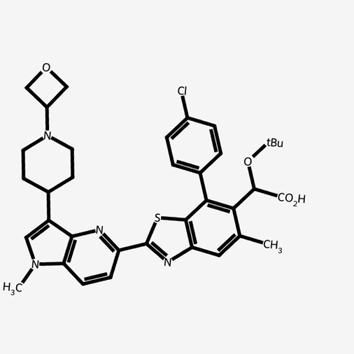 Cc1cc2nc(-c3ccc4c(n3)c(C3CCN(C5COC5)CC3)cn4C)sc2c(-c2ccc(Cl)cc2)c1C(OC(C)(C)C)C(=O)O